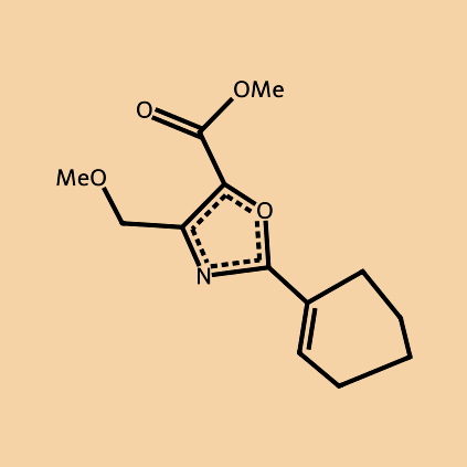 COCc1nc(C2=CCCCC2)oc1C(=O)OC